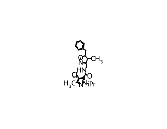 Cc1nn(C(C)C)c(C(=O)NCC2=NOC(Cc3ccccc3)C2C)c1Cl